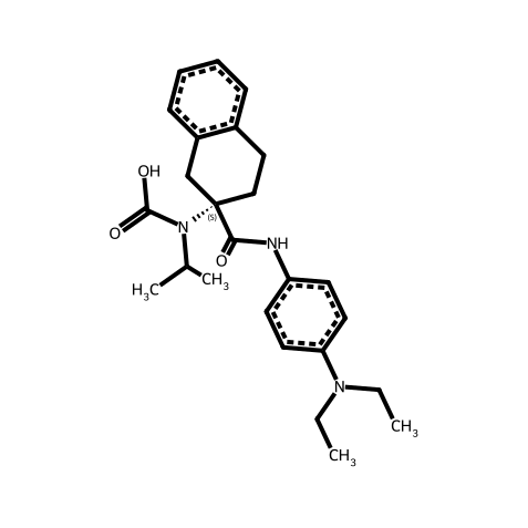 CCN(CC)c1ccc(NC(=O)[C@]2(N(C(=O)O)C(C)C)CCc3ccccc3C2)cc1